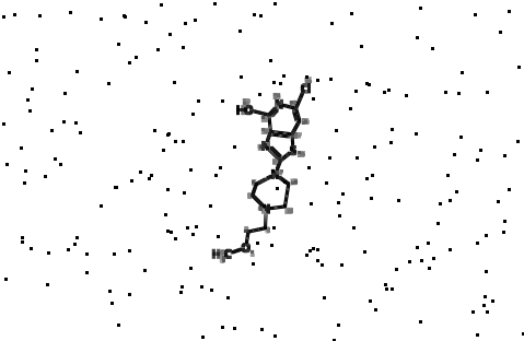 COCCN1CCN(c2nc3c(O)nc(Cl)cc3s2)CC1